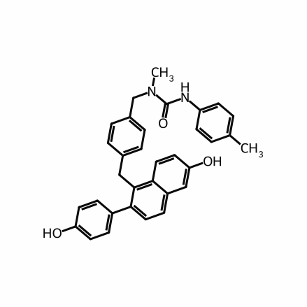 Cc1ccc(NC(=O)N(C)Cc2ccc(Cc3c(-c4ccc(O)cc4)ccc4cc(O)ccc34)cc2)cc1